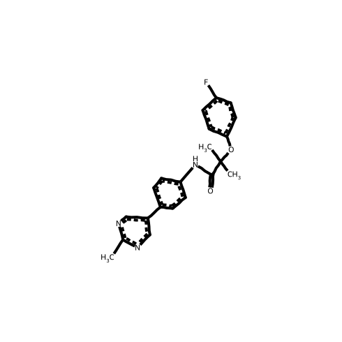 Cc1ncc(-c2ccc(NC(=O)C(C)(C)Oc3ccc(F)cc3)cc2)cn1